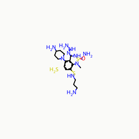 CN(SON)c1c(SNCCCN)ccc(N2CCC(N)CC2)c1/C(N)=N/NN.S